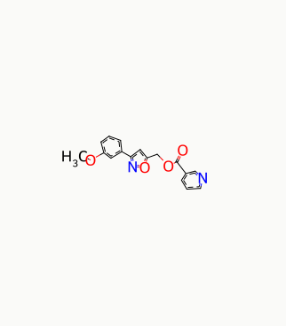 COc1cccc(-c2cc(COC(=O)c3cccnc3)on2)c1